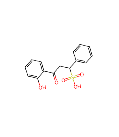 O=C(CC(c1ccccc1)S(=O)(=O)O)c1ccccc1O